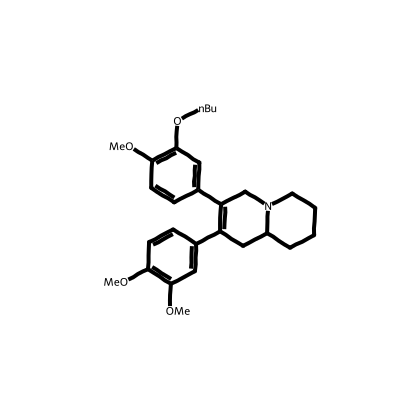 CCCCOc1cc(C2=C(c3ccc(OC)c(OC)c3)CC3CCCCN3C2)ccc1OC